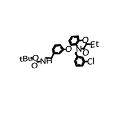 CCC1Oc2cccc(Oc3cccc(CCNC(=O)OC(C)(C)C)c3)c2N(Cc2cccc(Cl)c2)C1=O